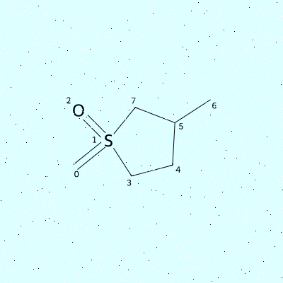 C=S1(=O)CCC(C)C1